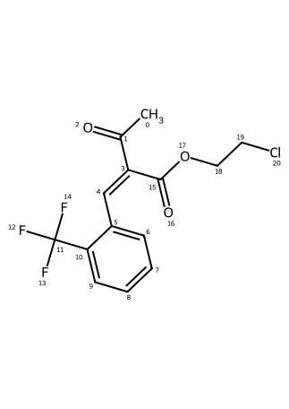 CC(=O)C(=Cc1ccccc1C(F)(F)F)C(=O)OCCCl